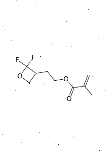 C=C(C)C(=O)OCCC1COC1(F)F